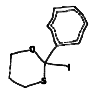 IC1(c2ccccc2)OCCCS1